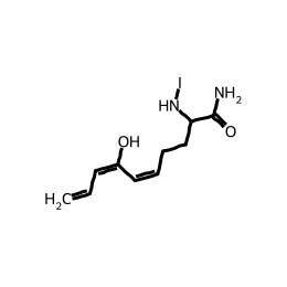 C=C/C=C(O)\C=C/CCC(NI)C(N)=O